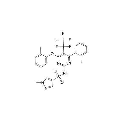 Cc1ccccc1Oc1nc(NS(=O)(=O)c2cnn(C)c2)nc(-c2ccccc2C)c1C(F)(F)C(F)(F)F